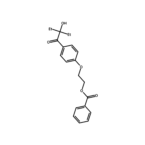 CCC(O)(CC)C(=O)c1ccc(OCCOC(=O)c2ccccc2)cc1